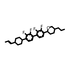 C/C=C/C1CCC(c2ccc(-c3ccc(C4CCC(CCC)CO4)c(F)c3F)c(F)c2F)CC1